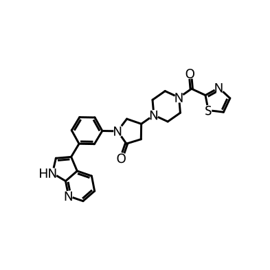 O=C(c1nccs1)N1CCN(C2CC(=O)N(c3cccc(-c4c[nH]c5ncccc45)c3)C2)CC1